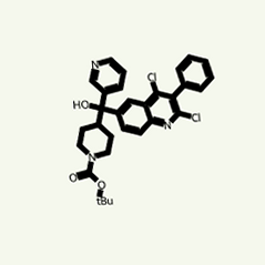 CC(C)(C)OC(=O)N1CCC(C(O)(c2cccnc2)c2ccc3nc(Cl)c(-c4ccccc4)c(Cl)c3c2)CC1